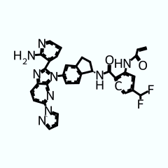 C=CC(=O)Nc1cc(C(F)F)ccc1C(=O)N[C@H]1CCc2cc(-n3c(-c4cccnc4N)nc4ccc(-n5cccn5)nc43)ccc21